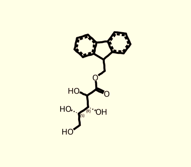 O=C(OCC1c2ccccc2-c2ccccc21)C(O)[C@H](O)[C@@H](O)CO